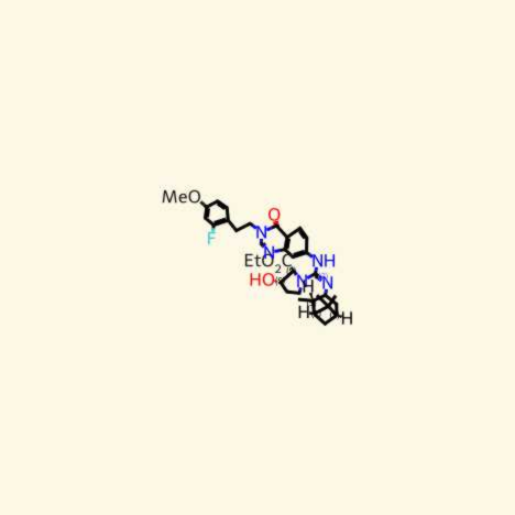 CCOC(=O)[C@@H]1[C@@H](O)CCN1/C(=N\C1C[C@@H]2C[C@H]([C@@H]1C)C2(C)C)Nc1ccc2c(=O)n(CCc3ccc(OC)cc3F)cnc2c1